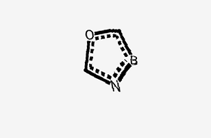 b1cocn1